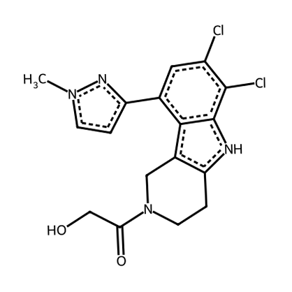 Cn1ccc(-c2cc(Cl)c(Cl)c3[nH]c4c(c23)CN(C(=O)CO)CC4)n1